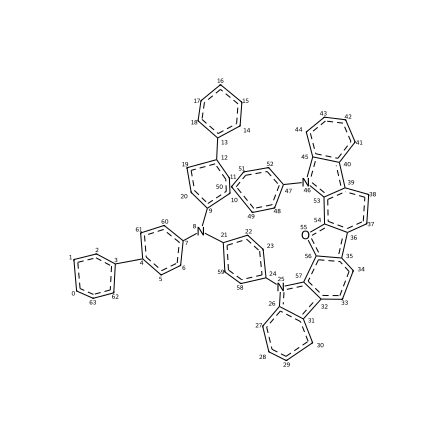 c1ccc(-c2ccc(N(c3ccc(-c4ccccc4)cc3)c3ccc(-n4c5ccccc5c5ccc6c7ccc8c9ccccc9n(-c9ccccc9)c8c7oc6c54)cc3)cc2)cc1